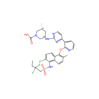 CCC(F)(F)CS(=O)(=O)Nc1c(F)ccc2c(Oc3ncccc3-c3ccnc(N[C@H]4C[C@@H](C)CN(C(=O)O)C4)n3)c(C)ccc12